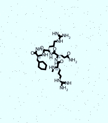 CN[C@@H](CCCNC(=N)N)C(=O)N[C@@H](CCC(N)=O)C(=O)N[C@@H](CCCNC(=N)N)C(=O)N[C@@H](CC1CCCCC1)C(N)=O